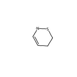 C1=C[N]SCC1